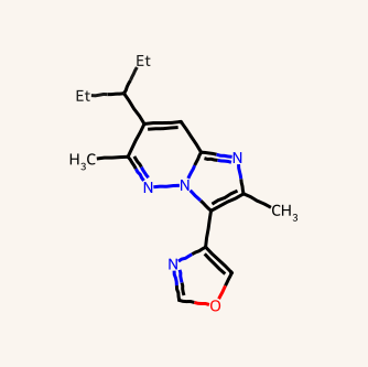 CCC(CC)c1cc2nc(C)c(-c3cocn3)n2nc1C